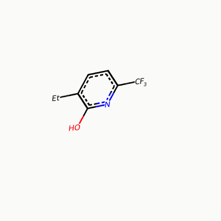 CCc1ccc(C(F)(F)F)nc1O